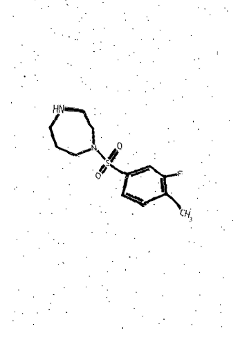 Cc1ccc(S(=O)(=O)N2CCCNCC2)cc1F